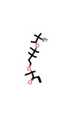 C=CC(=O)C(C)(C)OCCC(C)(C)C(C)(C)OC(C)C(C)(C)C(C)C